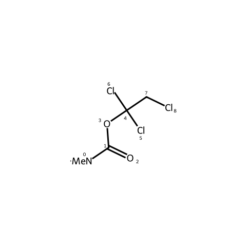 C[N]C(=O)OC(Cl)(Cl)CCl